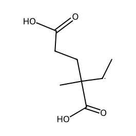 C[CH]C(C)(CCC(=O)O)C(=O)O